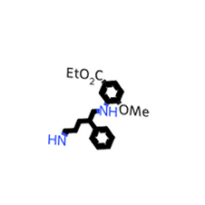 CCOC(=O)c1ccc(OC)c(NCC(CCC=N)c2ccccc2)c1